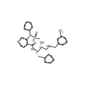 CS(=O)(=O)N(c1ccccc1)c1cnccc1C(=O)N[C@@H](Cc1ccccc1)[C@H](O)CNCc1cccc(C(F)(F)F)c1